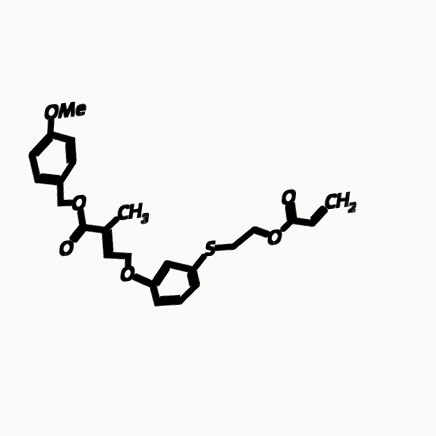 C=CC(=O)OCCSc1cccc(OC/C=C(\C)C(=O)OCc2ccc(OC)cc2)c1